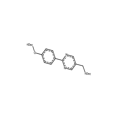 CCCCCCCCCCCc1cnc(-c2ccc(OCCCCCCCCCC)cc2)nc1